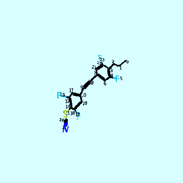 CCCc1c(F)cc(C#Cc2cc(F)c(SC#N)c(F)c2)cc1F